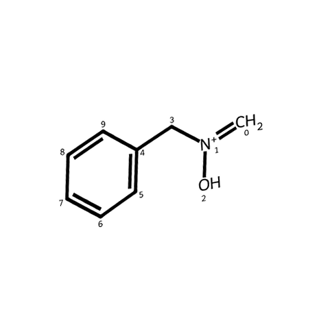 C=[N+](O)Cc1ccccc1